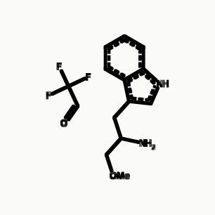 COCC(N)Cc1c[nH]c2ccccc12.O=CC(F)(F)F